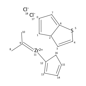 C1=CC2C=CSC2=C1.C[C](C)=[Zr+2][C]1=CC=CC1.[Cl-].[Cl-]